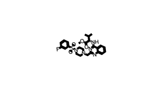 COC(=O)[C@@H](Nc1nc(CN2CCN(S(=O)(=O)c3cccc(F)c3)CC2)nc2ccccc12)C(C)C